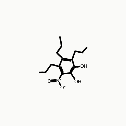 CCCc1c(O)c(O)c([N+](=O)[O-])c(CCC)c1CCC